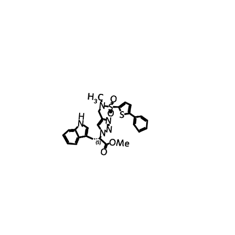 COC(=O)[C@H](Cc1c[nH]c2ccccc12)n1cc(CN(C)S(=O)(=O)c2ccc(-c3ccccc3)s2)nn1